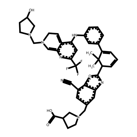 CC1(C)C(c2cccc(Nc3cc(C(F)(F)F)nc4c3=CCN(CN3CCC(O)C3)C=4)c2)=CC=CC1c1nc2cc(CN3CCC(C(=O)O)C3)cc(C#N)c2o1